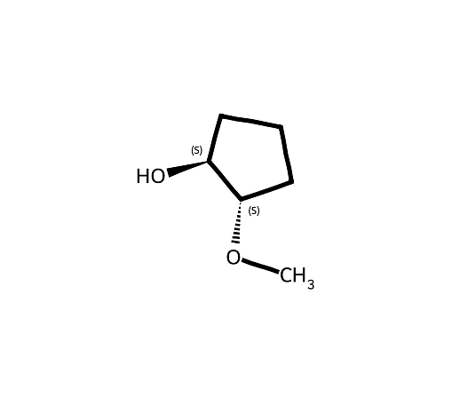 CO[C@H]1CCC[C@@H]1O